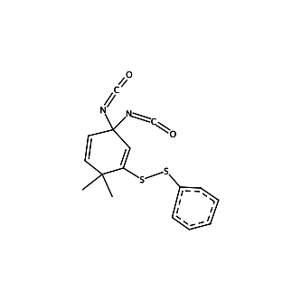 CC1(C)C=CC(N=C=O)(N=C=O)C=C1SSc1ccccc1